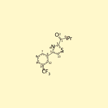 CC(C)C(=O)c1nc(-c2cccc(C(F)(F)F)c2)cs1